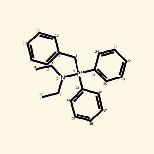 CCN(CC)[P+](Cc1ccccc1)(c1ccccc1)c1ccccc1